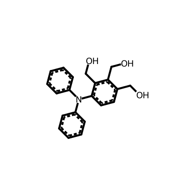 OCc1ccc(N(c2ccccc2)c2ccccc2)c(CO)c1CO